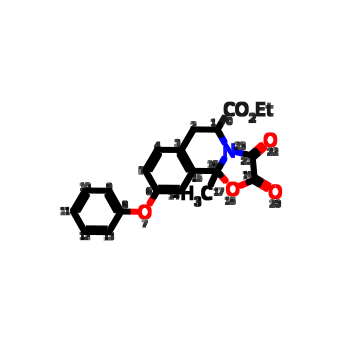 CCOC(=O)C1Cc2ccc(Oc3ccccc3)cc2C2(C)OC(=O)C(=O)N12